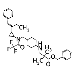 CC/C(=C\c1ccccc1)C1CC1N(CC1CCC(NCC(C)(C)C(=O)OCc2ccccc2)CC1)C(=O)C(F)(F)F